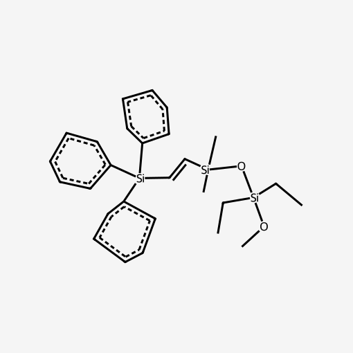 CC[Si](CC)(OC)O[Si](C)(C)C=C[Si](c1ccccc1)(c1ccccc1)c1ccccc1